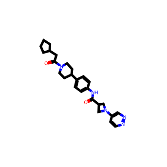 O=C(Nc1ccc(C2CCN(C(=O)CC3CCCC3)CC2)cc1)C1CN(c2ccnnc2)C1